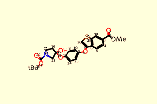 COC(=O)c1ccc2c(Oc3ccc(OC4(O)CCN(C(=O)OC(C)(C)C)C4)cc3)csc2c1